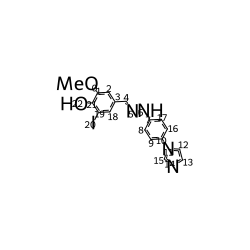 COc1cc(C=NNc2ccc(-n3ccnc3)cc2)cc(I)c1O